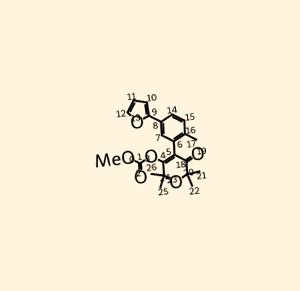 COC(=O)OC1=C(c2cc(-c3ccco3)ccc2C)C(=O)C(C)(C)OC1(C)C